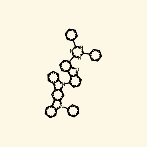 c1ccc(-c2nc(-c3ccccc3)nc(-c3cccc4c3oc3cccc(-n5c6ccccc6c6cc7c8ccccc8n(-c8ccccc8)c7cc65)c34)n2)cc1